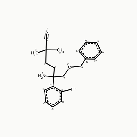 CC(C)(C#N)CCC(N)(COCc1ccccc1)c1ccccc1F